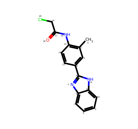 Cc1cc(-c2nc3ccccc3[nH]2)ccc1NC(=O)CCl